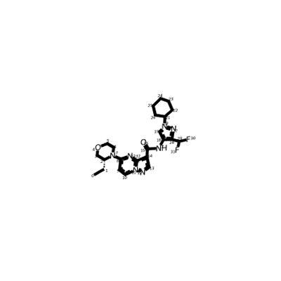 CC[C@@H]1COCCN1c1ccn2ncc(C(=O)Nc3cn(C4CCCCC4)nc3C(F)F)c2n1